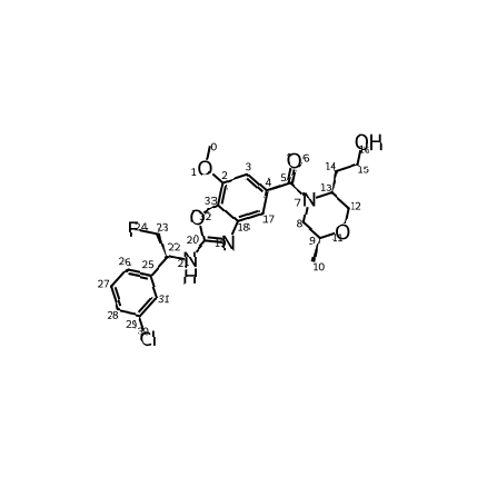 COc1cc(C(=O)N2C[C@H](C)OC[C@@H]2CCO)cc2nc(N[C@H](CF)c3cccc(Cl)c3)oc12